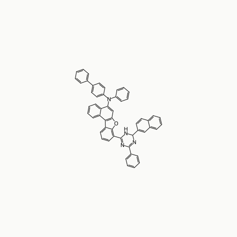 c1ccc(C2=NC(c3ccc4ccccc4c3)NC(c3cccc4c3oc3cc(N(c5ccccc5)c5ccc(-c6ccccc6)cc5)c5ccccc5c34)=N2)cc1